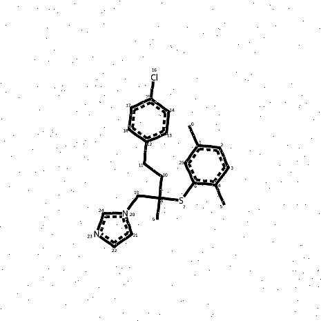 Cc1ccc(C)c(SC(C)(CCc2ccc(Cl)cc2)Cn2ccnc2)c1